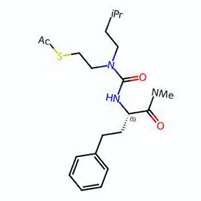 CNC(=O)[C@H](CCc1ccccc1)NC(=O)N(CCSC(C)=O)CCC(C)C